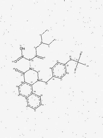 C=C(CC(CC)CC)[C@@H](C(=O)O)N1CN(Cc2ccc(SC(F)(F)F)cc2)c2c(ccc3ccccc23)C1=O